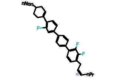 CCC/C=C\Cc1ccc(-c2ccc(-c3ccc(C4=CCC(CCCCCCCCC)CC4)c(F)c3)cc2)c(F)c1F